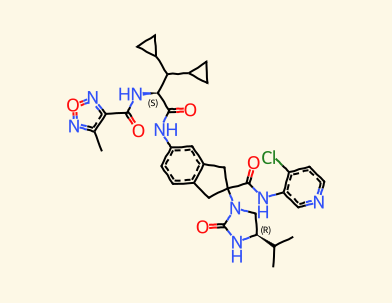 Cc1nonc1C(=O)N[C@H](C(=O)Nc1ccc2c(c1)CC(C(=O)Nc1cnccc1Cl)(N1C[C@@H](C(C)C)NC1=O)C2)C(C1CC1)C1CC1